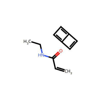 C=CC(=O)NCC.c1cc2ccc1-2